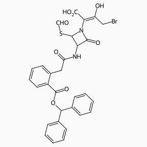 O=CSC1C(NC(=O)Cc2ccccc2C(=O)OC(c2ccccc2)c2ccccc2)C(=O)N1/C(C(=O)O)=C(/O)CBr